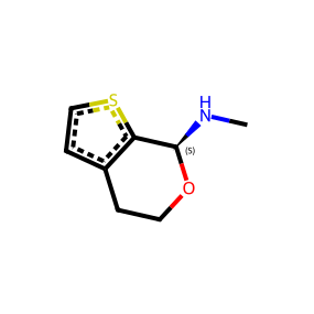 CN[C@H]1OCCc2ccsc21